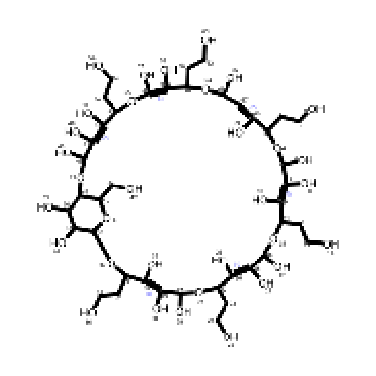 OCCC1OC(O)/C(O)=C(\O)C(CCO)OC(O)/C(O)=C(\O)C(CCO)OC(O)/C(O)=C(\O)C(CCO)OC2OC(CO)C(OC(O)/C(O)=C(/O)C(CCO)O/C(O)=C(/O)C(CCO)OC(O)/C=C/1O)C(O)C2O